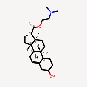 C[C@H](OCCN(C)C)[C@H]1CC[C@H]2[C@@H]3CC=C4CC(O)CC[C@]4(C)[C@H]3CC[C@]12C